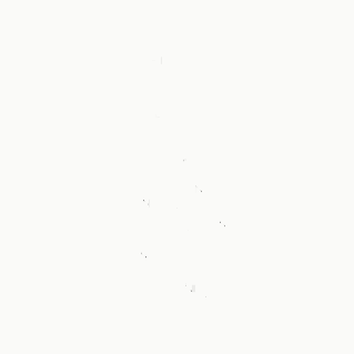 Nc1ncnc2c1ncn2[C@@H]1O[C@H](C(=O)O)CC1F